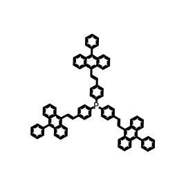 C(=C\c1c2ccccc2c(-c2ccccc2)c2ccccc12)/c1ccc(P(c2ccc(/C=C/c3c4ccccc4c(-c4ccccc4)c4ccccc34)cc2)c2ccc(/C=C/c3c4ccccc4c(-c4ccccc4)c4ccccc34)cc2)cc1